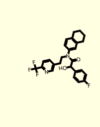 O=C(C(O)c1ccc(F)cc1)N(CCc1ccc(C(F)(F)F)nc1)c1ccc2c(c1)CCCC2